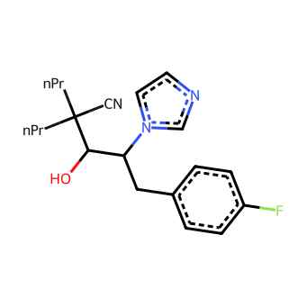 CCCC(C#N)(CCC)C(O)C(Cc1ccc(F)cc1)n1ccnc1